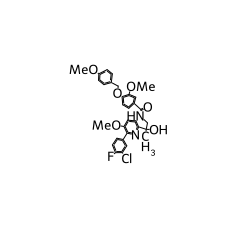 COc1ccc(COc2ccc(C(=O)NCC(C)(O)c3ccc(OC)c(-c4ccc(F)c(Cl)c4)n3)cc2OC)cc1